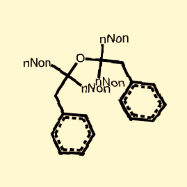 CCCCCCCCCC(CCCCCCCCC)(Cc1ccccc1)OC(CCCCCCCCC)(CCCCCCCCC)Cc1ccccc1